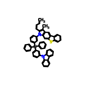 C=C/C=C\c1c(C)c2cc3c(cc2n1-c1cccc([Si](c2ccccc2)(c2ccccc2)c2cccc(-n4c5ccccc5c5ccccc54)c2)c1)sc1ccccc13